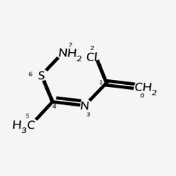 C=C(Cl)/N=C(/C)SN